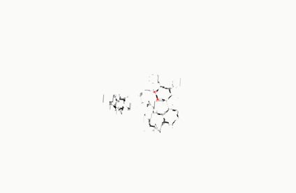 Fc1ccc(-c2ccc(Cl)c(Cl)c2)c2c(N3CCC[C@@H](Cc4nnn[nH]4)C3)ncnc12